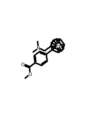 COC(=O)c1ccc([C]23[CH]4[CH]5[CH]6[CH]2[Fe]56432789[CH]3[CH]2[CH]7[C]8(CN(C)C)[CH]39)cc1